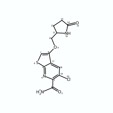 NC(=O)c1nc2scc(OCC3CCC(=O)N3)c2cc1Cl